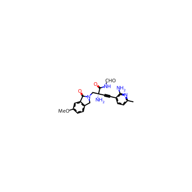 COc1ccc2c(c1)C(=O)N(C[C@](N)(C#Cc1ccc(C)nc1N)C(=O)NC=O)C2